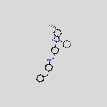 O=C(O)c1ccc2c(c1)nc(-c1ccc(CNc3ccc(Cc4ccccc4)cc3)cc1)n2C1CCCCC1